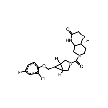 O=C1CO[C@H]2CCN(C(=O)N3C[C@@H]4[C@@H](COc5ccc(F)cc5Cl)[C@@H]4C3)CC2N1